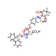 CC(C)CC(=Nc1ccc(COC(=O)[C@H](CC(=O)O)NC(=O)OCC2c3ccccc3-c3ccccc32)cc1)C1=C(O)CC(C)(C)CC1=O